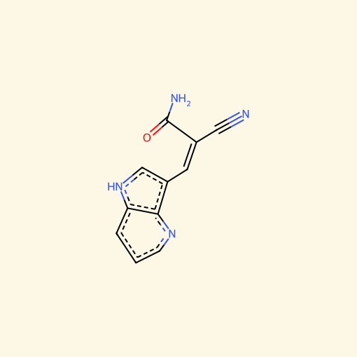 N#CC(=Cc1c[nH]c2cccnc12)C(N)=O